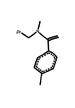 C=C(c1ccc(C)cc1)N(C)CC(C)C